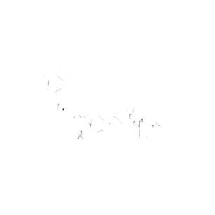 O=C(/C=C/c1ccc2c(c1)OC1(CCN(Cc3ccccc3)CC1)CC2=O)NOC1CCCCO1